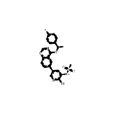 CC(Nc1ncnc2ccc(-c3cnc(Cl)c(NS(C)(=O)=O)c3)cc12)c1ccc(F)cc1